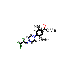 COC(=O)c1cc(OC)c(N2CCN(CC(F)C(F)F)CC2)cc1[N+](=O)[O-]